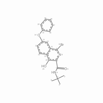 CC(C)(C)NC(=O)c1nc(Br)c2cc(Oc3ccccc3)ccc2c1O